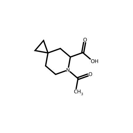 CC(=O)N1CCC2(CC2)CC1C(=O)O